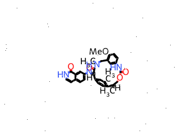 COc1ccc2cc1CN(C)C(=O)[C@H](Nc1ccc3cc[nH]c(=O)c3c1)c1ccc(c(C)c1)[C@@H](C)COC(=O)N2